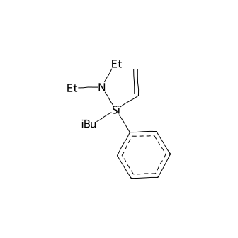 C=C[Si](c1ccccc1)(C(C)CC)N(CC)CC